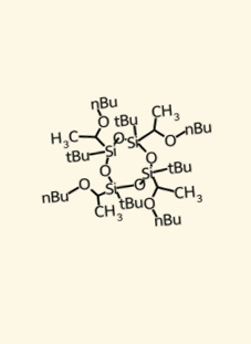 CCCCOC(C)[Si]1(C(C)(C)C)O[Si](C(C)OCCCC)(C(C)(C)C)O[Si](C(C)OCCCC)(C(C)(C)C)O[Si](C(C)OCCCC)(C(C)(C)C)O1